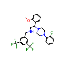 COc1ccccc1C(CNCc1cc(C(F)(F)F)cc(C(F)(F)F)c1)N1CCN(c2ccccc2Cl)CC1